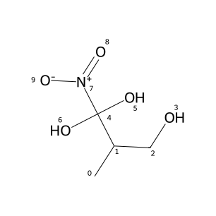 CC(CO)C(O)(O)[N+](=O)[O-]